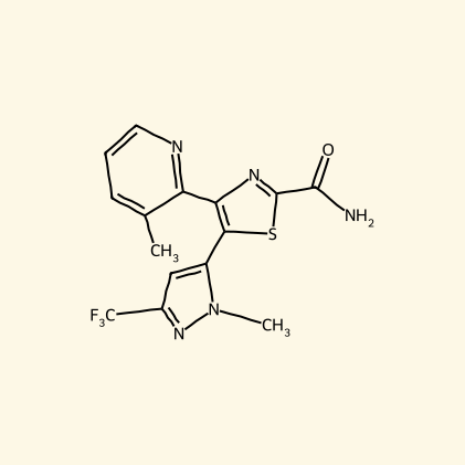 Cc1cccnc1-c1nc(C(N)=O)sc1-c1cc(C(F)(F)F)nn1C